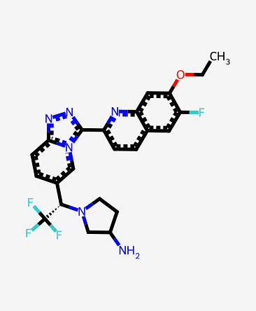 CCOc1cc2nc(-c3nnc4ccc([C@H](N5CCC(N)C5)C(F)(F)F)cn34)ccc2cc1F